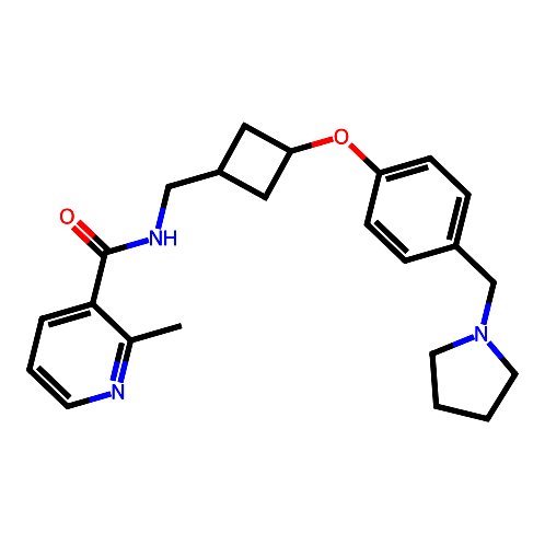 Cc1ncccc1C(=O)NCC1CC(Oc2ccc(CN3CCCC3)cc2)C1